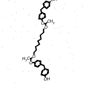 CC(OCCCCCCCCCOC(C)Oc1ccc(Cc2ccc(O)cc2)cc1)Oc1ccc(Cc2ccc(O)cc2)cc1